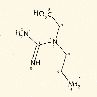 N=C(N)N(CCN)CC(=O)O